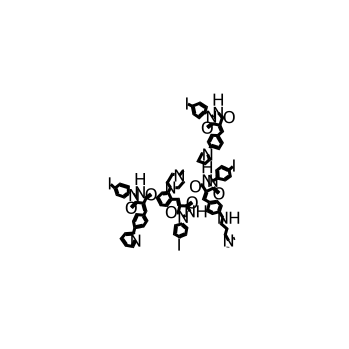 CN(C)CCCNc1ccc(C=C2C(=O)NN(c3ccc(I)cc3)C2=O)cc1.CN1CCN(c2ccccc2C=C2C(=O)NN(c3ccc(I)cc3)C2=O)CC1.O=C1NN(c2ccc(I)cc2)C(=O)C1=Cc1ccc(-c2ccccn2)cc1.O=C1NN(c2ccc(I)cc2)C(=O)C1=Cc1ccc(N2CCCC2)cc1